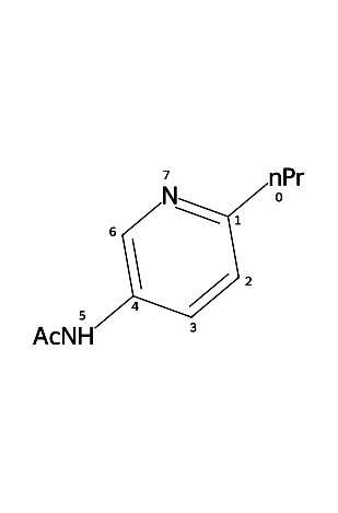 CCCc1ccc(NC(C)=O)cn1